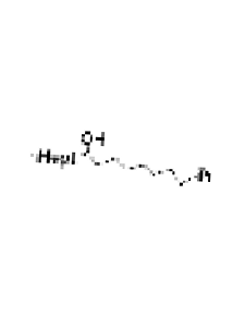 CCCCCCCC(O)CCCCCCCC(C)C